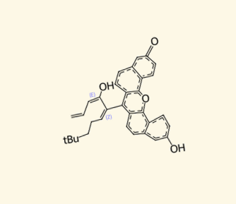 C=C/C=C(O)\C(=C/CCC(C)(C)C)c1c2ccc3cc(O)ccc3c2oc2c1ccc1cc(=O)ccc12